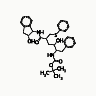 CC(C)(C)OC(=O)NC(Cc1ccccc1)C(O)CC(CSc1ccccc1)C(=O)NC1c2ccccc2CC1O